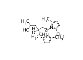 Cc1ccc(C)[n]1[Zr]([CH2]C(C)(O)CC(C)O)[n]1c(C)ccc1C